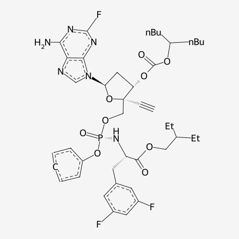 C#C[C@]1(CO[P@@](=O)(N[C@@H](Cc2cc(F)cc(F)c2)C(=O)OCC(CC)CC)Oc2ccccc2)O[C@@H](n2cnc3c(N)nc(F)nc32)C[C@@H]1OC(=O)OC(CCCC)CCCC